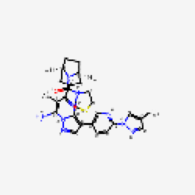 CC(=O)c1c(C2C[C@H]3CC[C@@H](C2)N3C(=O)N2CCSC2)nc2c(-c3ccc(-n4cc(C)cn4)nc3)cnn2c1N